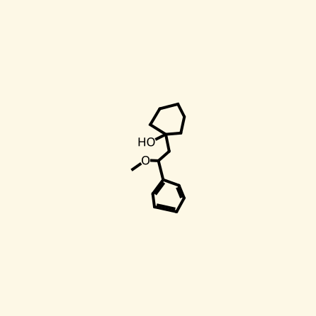 COC(CC1(O)CCCCC1)c1ccccc1